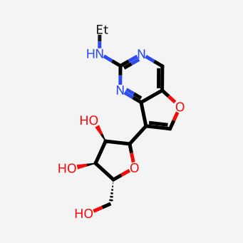 CCNc1ncc2occ(C3O[C@H](CO)[C@@H](O)[C@H]3O)c2n1